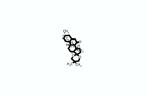 C[C@H]1CC[C@@]2(C)C(=CC(=O)[C@@H]3[C@@H]2CC[C@@]2(C)[C@H]3CCC23OCC(C)(C)CO3)C1